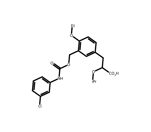 CCOc1ccc(CC(OC(C)C)C(=O)O)cc1COC(=O)Nc1cccc(Cl)c1